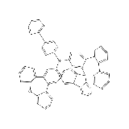 c1ccc(-c2ccc(N(c3ccc4c(c3)-c3ccccc3Oc3ccccc3-4)c3ccc4c(c3)C3(c5ccccc5-c5ccccc5-4)c4ccccc4-c4ccccc43)cc2)cc1